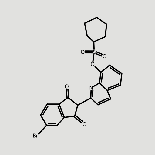 O=C1c2ccc(Br)cc2C(=O)C1c1ccc2cccc(OS(=O)(=O)C3CCCCC3)c2n1